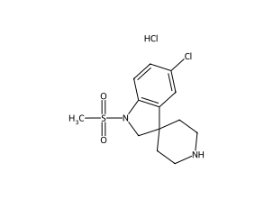 CS(=O)(=O)N1CC2(CCNCC2)c2cc(Cl)ccc21.Cl